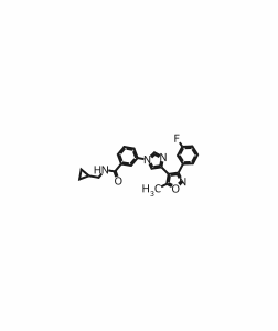 Cc1onc(-c2cccc(F)c2)c1-c1cn(-c2cccc(C(=O)NCC3CC3)c2)cn1